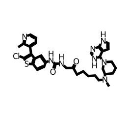 Cc1ncccc1-c1c(Cl)sc2ccc(NC(=O)NCC(=O)CCCCCN(C)C3CCCN(C4NC=Nc5[nH]ccc54)C3)cc12